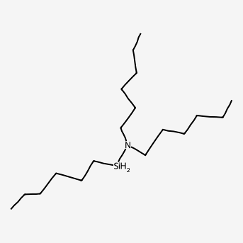 CCCCCC[SiH2]N(CCCCCC)CCCCCC